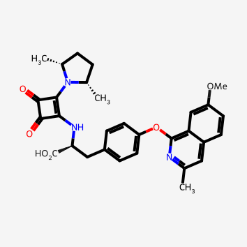 COc1ccc2cc(C)nc(Oc3ccc(C[C@H](Nc4c(N5[C@H](C)CC[C@@H]5C)c(=O)c4=O)C(=O)O)cc3)c2c1